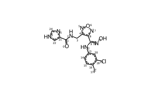 O=C(NCc1nonc1C(=NO)Nc1ccc(F)c(Cl)c1)c1c[nH]cn1